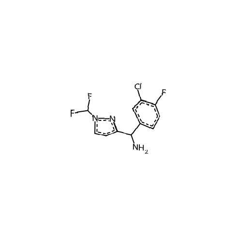 NC(c1ccc(F)c(Cl)c1)c1ccn(C(F)F)n1